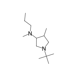 CCCN(C)C1CN(C(C)(C)C)CC1C